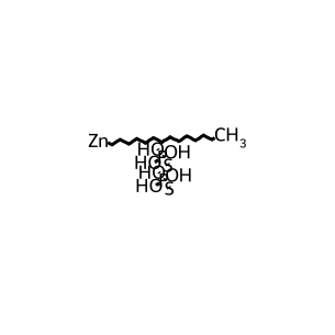 CCCCCCCCCCCCC[CH2][Zn].OP(O)(O)=S.OP(O)(O)=S